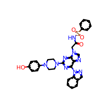 O=C(Cn1cnc2c(-n3ncc4ccccc43)nc(N3CCN(c4ccc(O)cc4)CC3)nc21)NS(=O)(=O)c1ccccc1